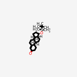 CC(C)(C)[Si](C)(C)O[C@H]1CC[C@H]2[C@@H]3CCC4=CC(=O)CC[C@@H]4[C@H]3CC[C@@H]21